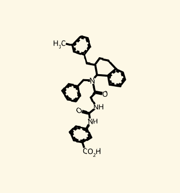 Cc1cccc(CC2CCc3ccccc3C2N(Cc2ccccc2)C(=O)CNC(=O)Nc2cccc(C(=O)O)c2)c1